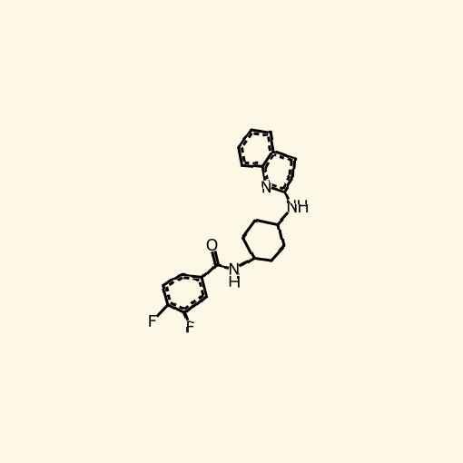 O=C(NC1CCC(Nc2ccc3ccccc3n2)CC1)c1ccc(F)c(F)c1